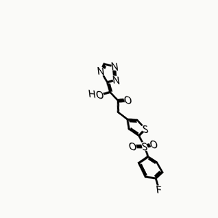 O=C(Cc1csc(S(=O)(=O)c2ccc(F)cc2)c1)C(O)=C1N=CN=N1